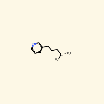 CCOC(=O)[C@H](C)CCCc1cccnc1